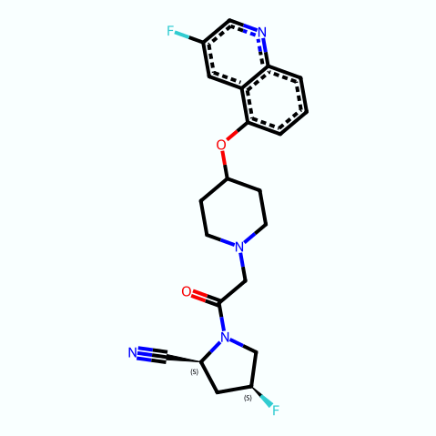 N#C[C@@H]1C[C@H](F)CN1C(=O)CN1CCC(Oc2cccc3ncc(F)cc23)CC1